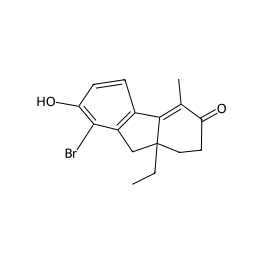 CCC12CCC(=O)C(C)=C1c1ccc(O)c(Br)c1C2